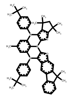 Cc1cc2c3c(c1)N(c1ccc(C(C)(C)C)cc1)c1c(oc4cc5c(cc14)-c1ccccc1C5(C)C)B3c1sc3c(c1N2c1ccc(C(C)(C)C)cc1)C(C)(C)CC3(C)C